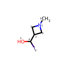 CN1CC(C(O)I)C1